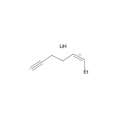 [C]#CCC/C=C\CC.[LiH]